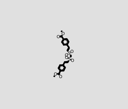 COC(=O)c1ccc(/C=C/S(=O)(=O)CS(=O)(=O)/C=C/c2ccc(C(=O)OC)cc2)cc1